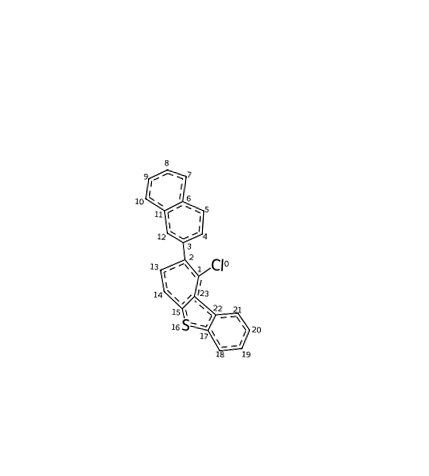 Clc1c(-c2ccc3ccccc3c2)ccc2sc3ccccc3c12